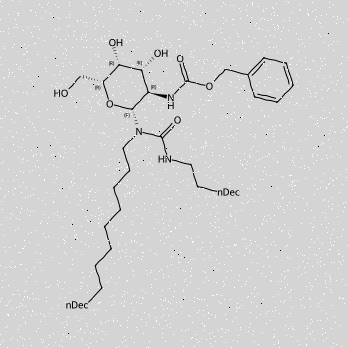 CCCCCCCCCCCCCCCCCCN(C(=O)NCCCCCCCCCCCC)[C@@H]1O[C@H](CO)[C@H](O)[C@H](O)[C@H]1NC(=O)OCc1ccccc1